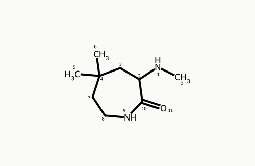 CNC1CC(C)(C)CCNC1=O